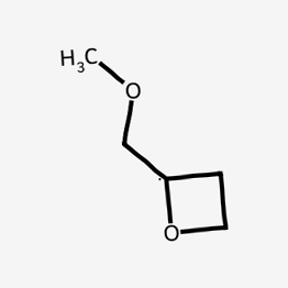 COC[C]1CCO1